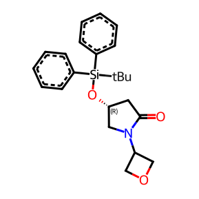 CC(C)(C)[Si](O[C@@H]1CC(=O)N(C2COC2)C1)(c1ccccc1)c1ccccc1